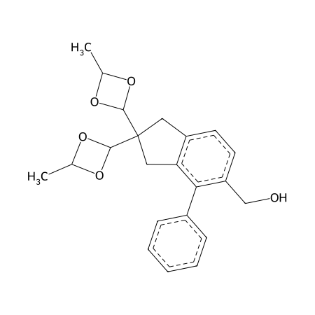 CC1OC(C2(C3OC(C)O3)Cc3ccc(CO)c(-c4ccccc4)c3C2)O1